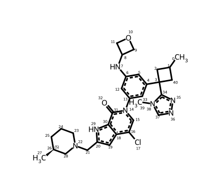 CC1CC(c2cc(NC3COC3)cc(-n3cc(Cl)c4cc(CN5CCC[C@H](C)C5)[nH]c4c3=O)c2)(c2nncn2C)C1